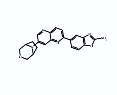 Nc1nc2cc(-c3ccc4ncc(N5C6CCC5COC6)cc4n3)ccc2o1